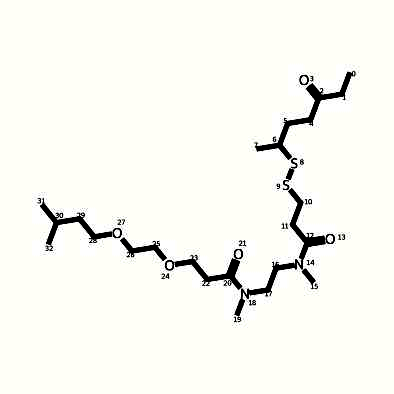 CCC(=O)CCC(C)SSCCC(=O)N(C)CCN(C)C(=O)CCOCCOCCC(C)C